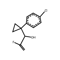 C=C(F)C(O)C1(c2ccc(Cl)cc2)CC1